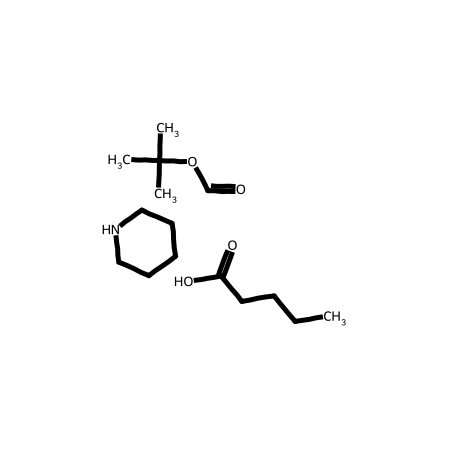 C1CCNCC1.CC(C)(C)OC=O.CCCCC(=O)O